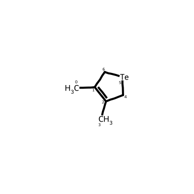 CC1=C(C)C[Te]C1